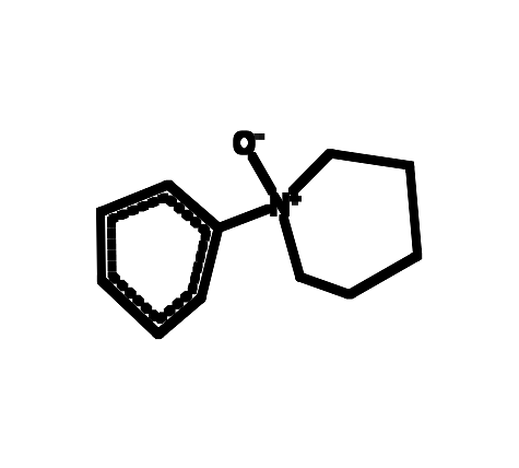 [O-][N+]1(c2ccccc2)CCCCC1